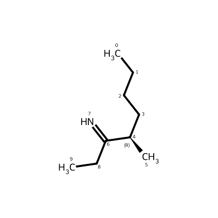 CCCC[C@@H](C)C(=N)CC